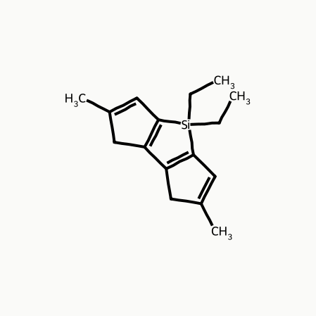 CC[Si]1(CC)C2=C(CC(C)=C2)C2=C1C=C(C)C2